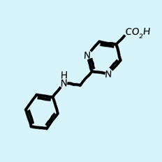 O=C(O)c1cnc(CNc2ccccc2)nc1